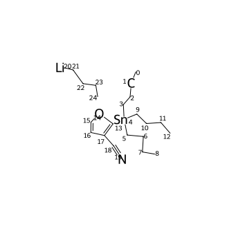 CCC[CH2][Sn]([CH2]CCC)([CH2]CCC)[c]1occc1C#N.[Li][CH2]CCC